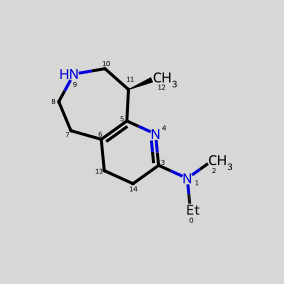 CCN(C)C1=NC2=C(CCNC[C@H]2C)CC1